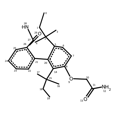 CCC(C)(C)c1ccc(OCC(N)=O)c(C(C)(C)CC)c1-c1ccccc1C([NH])=O